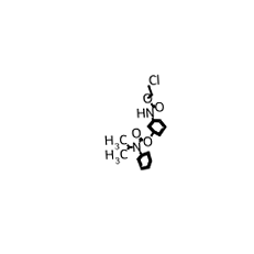 CC(C)N(C(=O)Oc1cccc(NC(=O)OCCCl)c1)c1ccccc1